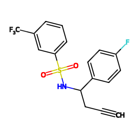 C#CCC(NS(=O)(=O)c1cccc(C(F)(F)F)c1)c1ccc(F)cc1